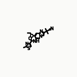 CCOc1cc2nc(C(C)(C)C#N)cn2cc1NC(=O)c1csc(C)n1